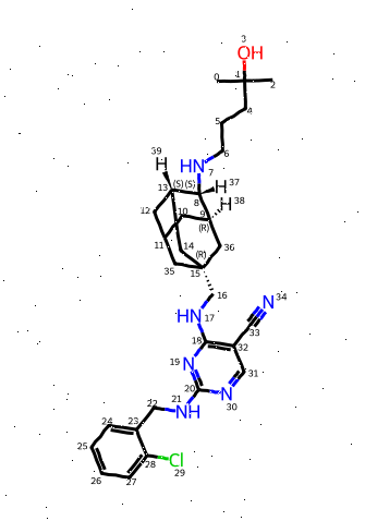 CC(C)(O)CCCN[C@@H]1[C@@H]2CC3C[C@H]1C[C@](CNc1nc(NCc4ccccc4Cl)ncc1C#N)(C3)C2